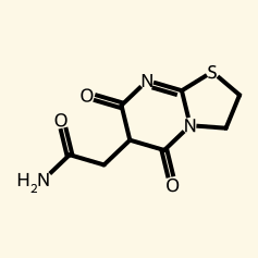 NC(=O)CC1C(=O)N=C2SCCN2C1=O